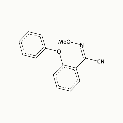 CO/N=C(/C#N)c1ccccc1Oc1ccccc1